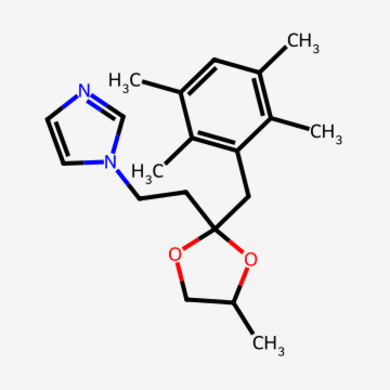 Cc1cc(C)c(C)c(CC2(CCn3ccnc3)OCC(C)O2)c1C